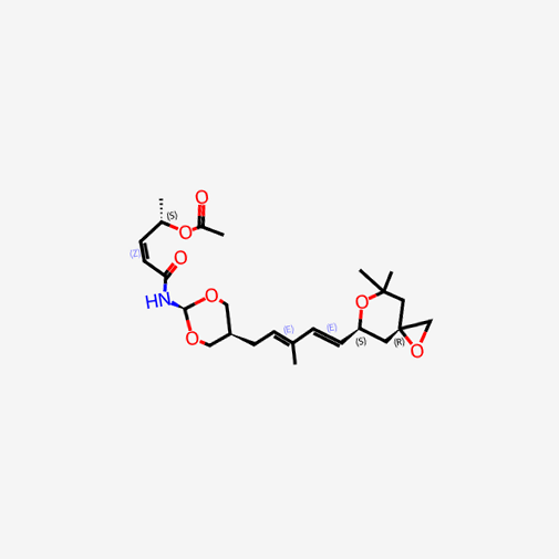 CC(=O)O[C@@H](C)/C=C\C(=O)N[C@H]1OC[C@@H](C/C=C(C)/C=C/[C@@H]2C[C@]3(CO3)CC(C)(C)O2)CO1